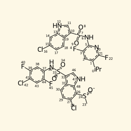 CC(C)c1cc(F)c(NS(=O)(=O)c2c[nH]c3cc(Cl)ccc23)nc1F.C[S+]([O-])c1c(Cl)ccc2c(S(=O)(=O)Nc3cc(F)c(Cl)cc3F)c[nH]c12